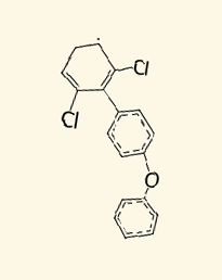 ClC1=CC[CH]C(Cl)=C1c1ccc(Oc2ccccc2)cc1